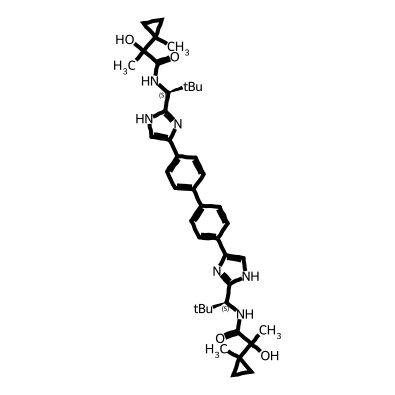 CC(C)(C)[C@H](NC(=O)C(C)(O)C1(C)CC1)c1nc(-c2ccc(-c3ccc(-c4c[nH]c([C@@H](NC(=O)C(C)(O)C5(C)CC5)C(C)(C)C)n4)cc3)cc2)c[nH]1